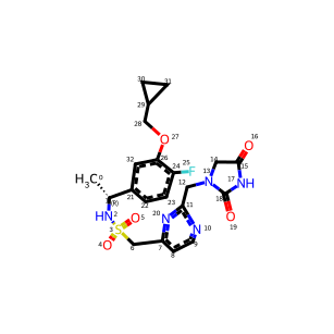 C[C@@H](NS(=O)(=O)Cc1ccnc(CN2CC(=O)NC2=O)n1)c1ccc(F)c(OCC2CC2)c1